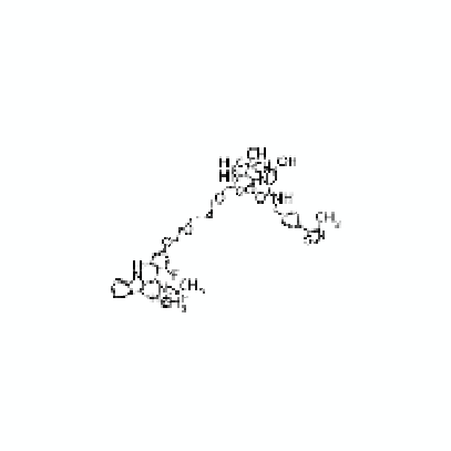 Cc1ncsc1-c1ccc(CNC(=O)[C@@H]2C[C@@H](O)CN2C(=O)[C@@H](NC(=O)COC[C@@H]2C[C@@H]2COCCOc2cc(F)c(C3c4[nH]c5ccccc5c4C[C@@H](C)N3CC(C)(C)F)c(F)c2)C(C)(C)C)cc1